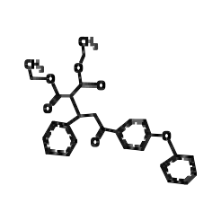 CCOC(=O)C(C(=O)OCC)C(CC(=O)c1ccc(Oc2ccccc2)cc1)c1ccccc1